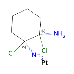 N[C@]1(Cl)CCCC[C@@]1(N)Cl.[Pt]